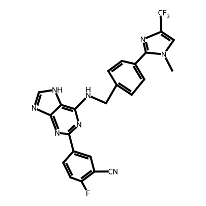 Cn1cc(C(F)(F)F)nc1-c1ccc(CNc2nc(-c3ccc(F)c(C#N)c3)nc3nc[nH]c23)cc1